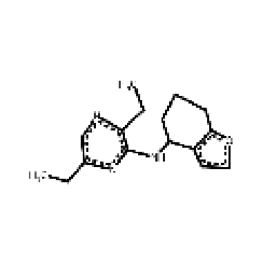 CCc1cnc(CC)c(NC2CCCc3occc32)n1